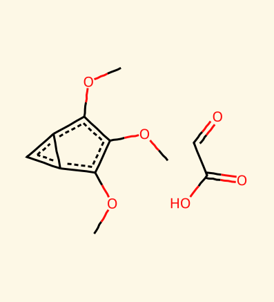 COc1c2cc-2c(OC)c1OC.O=CC(=O)O